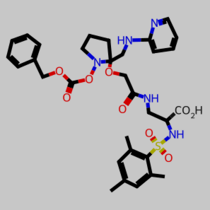 Cc1cc(C)c(S(=O)(=O)NC(CNC(=O)COC2(CNc3ccccn3)CCCN2OC(=O)OCc2ccccc2)C(=O)O)c(C)c1